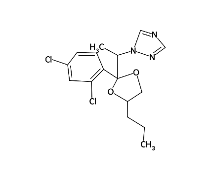 CCCC1COC(c2ccc(Cl)cc2Cl)(C(C)n2cncn2)O1